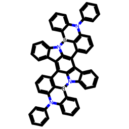 c1ccc(N2c3ccccc3B3c4c(cccc42)-c2c4c5ccccc5n5c4c(c4c6ccccc6n3c24)-c2cccc3c2B5c2ccccc2N3c2ccccc2)cc1